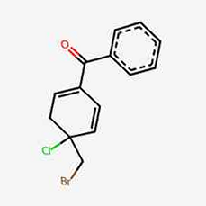 O=C(C1=CCC(Cl)(CBr)C=C1)c1ccccc1